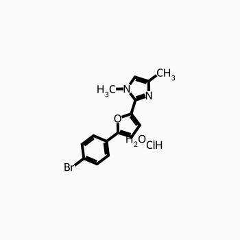 Cc1cn(C)c(-c2ccc(-c3ccc(Br)cc3)o2)n1.Cl.O